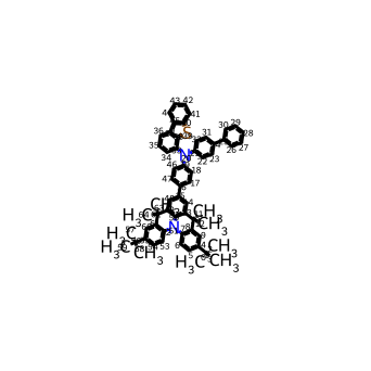 CC(C)(C)c1ccc2c(c1)C(C)(C)c1cc(-c3ccc(N(c4ccc(-c5ccccc5)cc4)c4cccc5c4sc4ccccc45)cc3)cc3c1N2c1ccc(C(C)(C)C)cc1C3(C)C